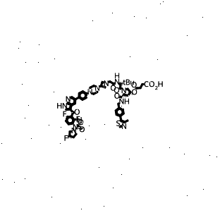 Cc1ncsc1-c1ccc(CNC(=O)[C@@H]2C[C@@H](OC(=O)CCC(=O)O)CN2C(=O)[C@@H](NC(=O)CN2CC(N3CCN(c4ccc(-c5cnc6[nH]cc(C(=O)c7c(F)ccc(N(N8CC[C@@H](F)C8)[SH](=O)=O)c7F)c6c5)cc4)CC3)C2)C(C)(C)C)cc1